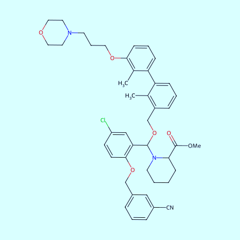 COC(=O)C1CCCCN1C(OCc1cccc(-c2cccc(OCCCN3CCOCC3)c2C)c1C)c1cc(Cl)ccc1OCc1cccc(C#N)c1